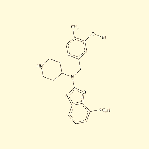 CCOc1cc(CN(c2nc3cccc(C(=O)O)c3o2)C2CCNCC2)ccc1C